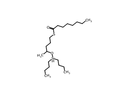 CCCCCCCC(=O)SCCCC(C)O[SiH](CCCC)CCCC